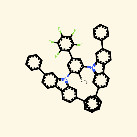 Fc1c(F)c(F)c(-c2cc(-n3c4cc(-c5ccccc5)ccc4c4ccc(-c5ccccc5)cc43)c(C(F)(F)F)c(-n3c4cc(-c5ccccc5)ccc4c4ccc(-c5ccccc5)cc43)c2)c(F)c1F